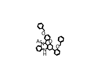 CC(=O)N1c2ccccc2NC2=C(C(=O)CC(c3ccccc3OCc3ccccc3)C2)C1c1cccc(OCc2ccccc2)c1